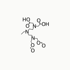 CCN(CCN(COC=O)COC=O)CCN(CC(=O)O)CC(=O)O